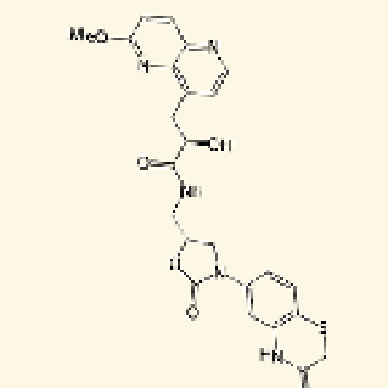 COc1ccc2nccc(C[C@@H](O)C(=O)NC[C@@H]3CN(c4ccc5c(c4)NC(=O)CS5)C(=O)O3)c2n1